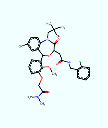 COc1c(OCC(=O)N(C)C)cccc1C1OC(CC(=O)NCc2ccccc2F)C(=O)N(CC(C)(C)C)c2ccc(Cl)cc21